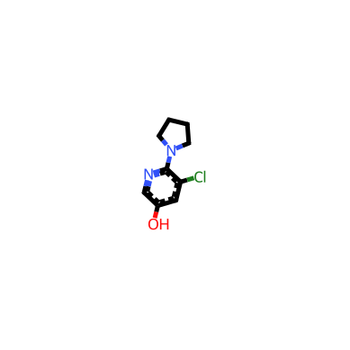 Oc1cnc(N2CCCC2)c(Cl)c1